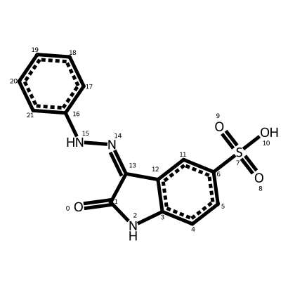 O=C1Nc2ccc(S(=O)(=O)O)cc2/C1=N/Nc1ccccc1